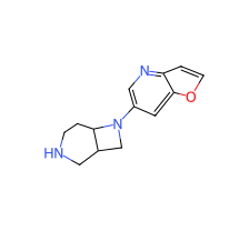 c1cc2ncc(N3CC4CNCCC43)cc2o1